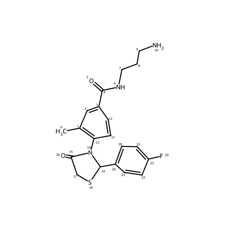 Cc1cc(C(=O)NCCCN)ccc1N1C(=O)CSC1c1ccc(F)cc1